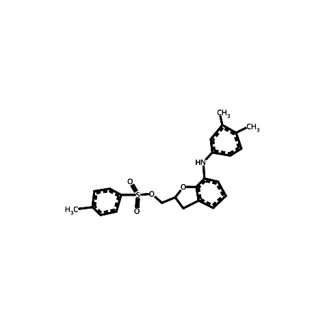 Cc1ccc(S(=O)(=O)OCC2Cc3cccc(Nc4ccc(C)c(C)c4)c3O2)cc1